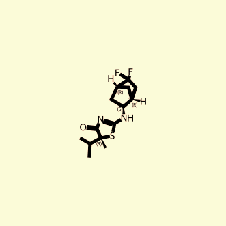 CC(C)[C@@]1(C)SC(N[C@H]2C[C@H]3C[C@@H]2CC3(F)F)=NC1=O